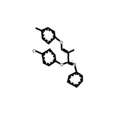 CC(=C\Oc1ccc(C)cc1)/C(=N/c1ccccc1)Oc1ccc(Cl)cc1